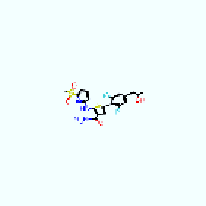 CC(O)Cc1cc(F)c(-c2cc(C(N)=O)c(Nc3cccc(S(C)(=O)=O)n3)s2)c(F)c1